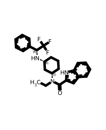 CCN(C(=O)c1cc2ccccc2[nH]1)[C@H]1CCC[C@@H](N[C@H](c2ccccc2)C(F)(F)F)C1